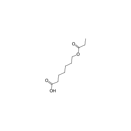 CCC(=O)OCCCCCCC(=O)O